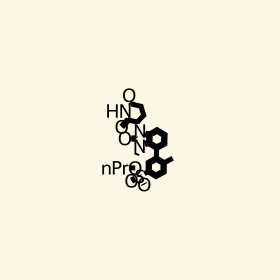 CCCOS(=O)(=O)c1ccc(C)c(-c2cccc3c2n(C)c(=O)n3C2CCC(=O)NC2=O)c1